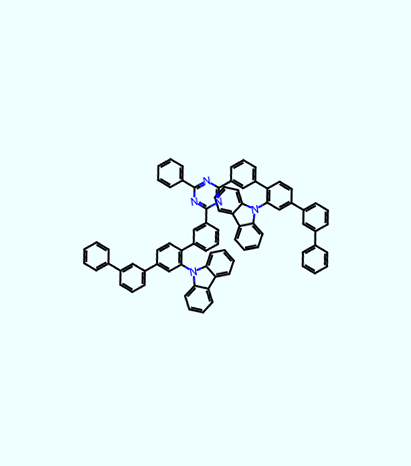 c1ccc(-c2cccc(-c3ccc(-c4cccc(-c5nc(-c6ccccc6)nc(-c6cccc(-c7ccc(-c8cccc(-c9ccccc9)c8)cc7-n7c8ccccc8c8ccccc87)c6)n5)c4)c(-n4c5ccccc5c5ccccc54)c3)c2)cc1